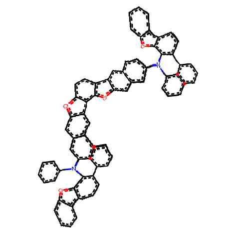 c1ccc(-c2ccc3c(oc4ccccc43)c2N(c2ccccc2)c2ccc3cc4c(cc3c2)oc2c4ccc3oc4cc5cc(N(c6ccccc6)c6c(-c7ccccc7)ccc7c6oc6ccccc67)ccc5cc4c32)cc1